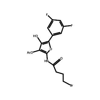 CC(=O)Oc1c(NC(=O)CCCBr)oc(-c2cc(F)cc(F)c2)c1O